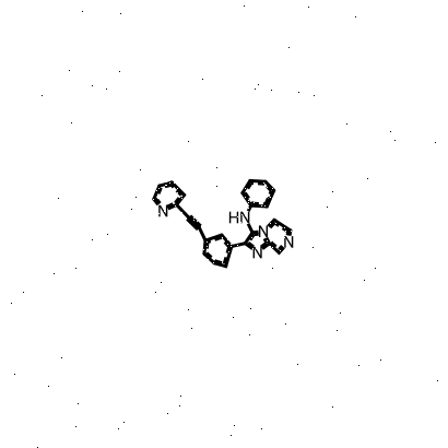 C(#Cc1ccccn1)c1cccc(-c2nc3cnccn3c2Nc2ccccc2)c1